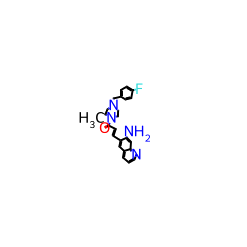 CC1CN(Cc2ccc(F)cc2)CCN1C(=O)C=Cc1cc2cccnc2cc1N